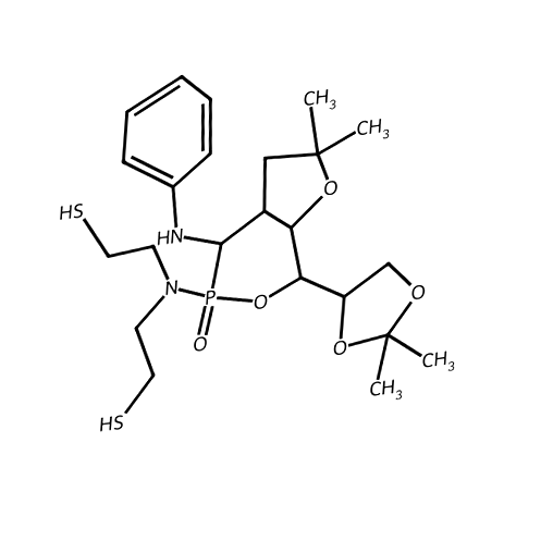 CC1(C)CC2C(O1)C(C1COC(C)(C)O1)OP(=O)(N(CCS)CCS)C2Nc1ccccc1